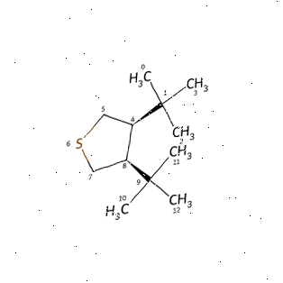 CC(C)(C)[C@@H]1CSC[C@@H]1C(C)(C)C